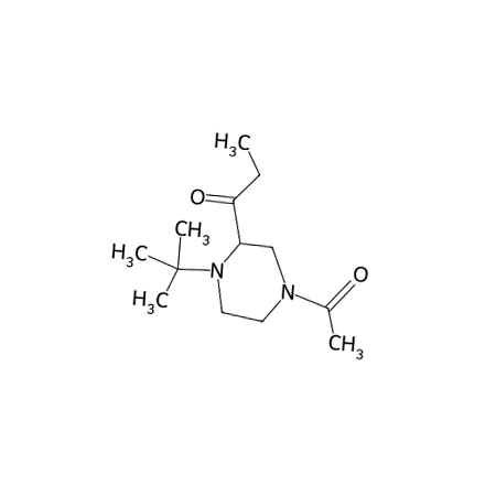 CCC(=O)C1CN(C(C)=O)CCN1C(C)(C)C